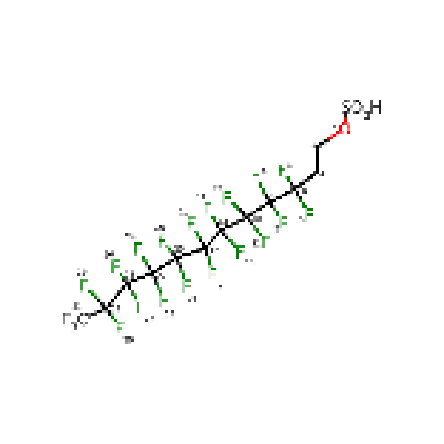 O=S(=O)(O)OCCC(F)(F)C(F)(F)C(F)(F)C(F)(F)C(F)(F)C(F)(F)C(F)(F)C(F)(F)C(F)(F)C(F)(F)F